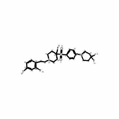 O=S(=O)(c1ccc(N2CCC(F)(F)CC2)cc1)C1(F)CCN(CCc2ccc(F)cc2F)CC1